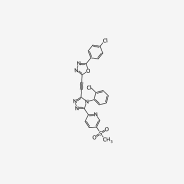 CS(=O)(=O)c1ccc(-c2nnc(C#Cc3nnc(-c4ccc(Cl)cc4)o3)n2-c2ccccc2Cl)nc1